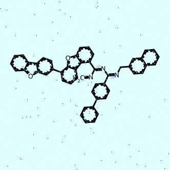 C=N/C(=N\C(=N/Cc1ccc2ccccc2c1)c1ccc(-c2ccccc2)cc1)c1cccc2oc3c(-c4ccc5c(c4)oc4ccccc45)cccc3c12